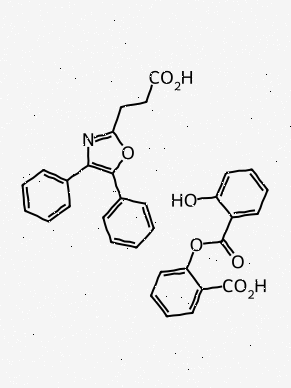 O=C(O)CCc1nc(-c2ccccc2)c(-c2ccccc2)o1.O=C(Oc1ccccc1C(=O)O)c1ccccc1O